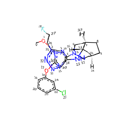 COc1cc(N2C[C@H]3CC[C@@H](C2)[C@@H]3Nc2nc(Oc3cccc(Cl)c3)n(CCF)n2)cnn1